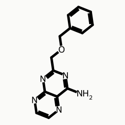 Nc1nc(COCc2ccccc2)nc2nccnc12